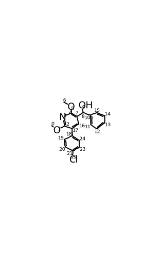 COc1nc(OC)c(C(O)c2ccccc2)cc1-c1ccc(Cl)cc1